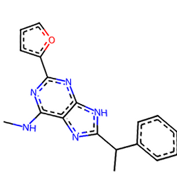 CNc1nc(-c2ccco2)nc2[nH]c(C(C)c3ccccc3)nc12